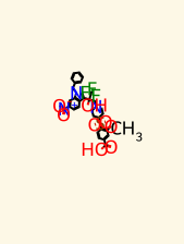 COc1cc(C(=O)O)ccc1S(=O)(=O)C1CCN(CC(O)(c2cn(Cc3ccccc3)c3cc([N+](=O)[O-])ccc23)C(F)(F)F)CC1